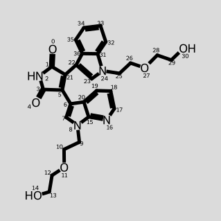 O=C1NC(=O)C(c2cn(CCOCCO)c3ncccc23)=C1c1cn(CCOCCO)c2ccccc12